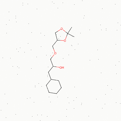 CC1(C)OCC(COCC(O)CC2CCCCC2)O1